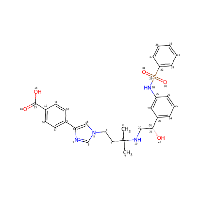 CC(C)(CCn1cnc(-c2ccc(C(=O)O)cc2)c1)NC[C@@H](O)c1cccc(NS(=O)(=O)c2ccccc2)c1